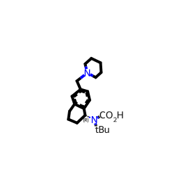 CC(C)(C)N(C(=O)O)[C@@H]1CCCc2cc(CN3CCCCC3)ccc21